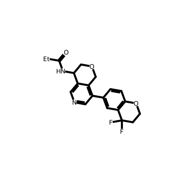 CCC(=O)NC1COCc2c(-c3ccc4c(c3)C(F)(F)CCO4)cncc21